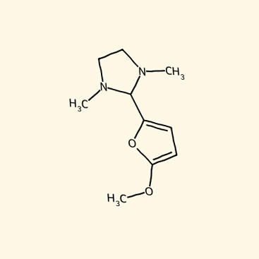 COc1ccc(C2N(C)CCN2C)o1